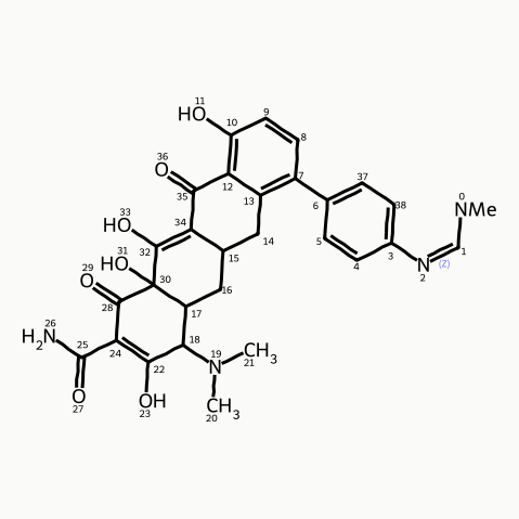 CN/C=N\c1ccc(-c2ccc(O)c3c2CC2CC4C(N(C)C)C(O)=C(C(N)=O)C(=O)C4(O)C(O)=C2C3=O)cc1